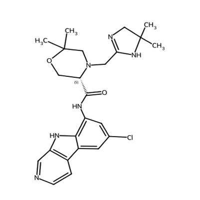 CC1(C)CN=C(CN2CC(C)(C)OC[C@H]2C(=O)Nc2cc(Cl)cc3c2[nH]c2cnccc23)N1